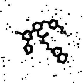 COc1ccc(CN2CCN(c3cc(Cl)nc(-n4ccnc4)n3)C(CC(=O)NCCc3ccc4c(c3)OCCO4)C2)cc1